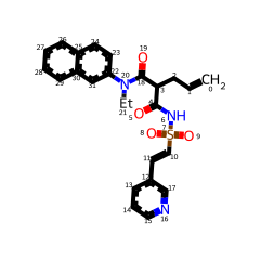 C=CCC(C(=O)NS(=O)(=O)C=Cc1cccnc1)C(=O)N(CC)c1ccc2ccccc2c1